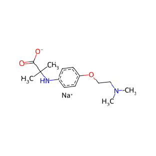 CN(C)CCOc1ccc(NC(C)(C)C(=O)[O-])cc1.[Na+]